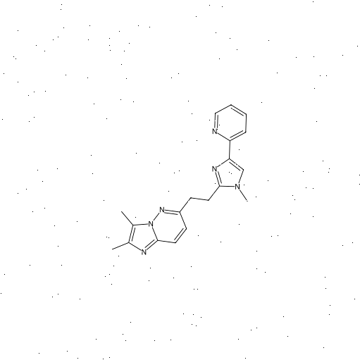 Cc1nc2ccc(CCc3nc(-c4ccccn4)cn3C)nn2c1C